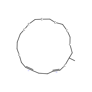 CC1C/C=C/CC/C=C\CCCCCCCCCCCCCCCC1